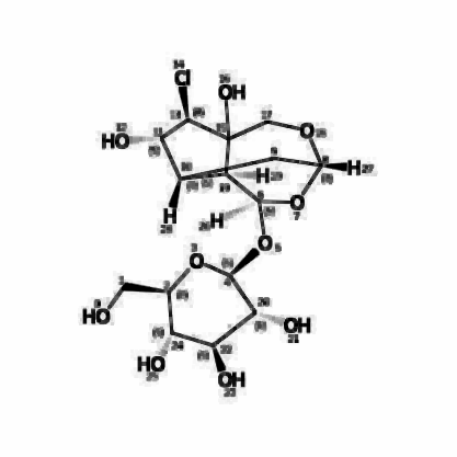 OC[C@H]1O[C@@H](O[C@@H]2O[C@@H]3C[C@H]4[C@H](O)[C@@H](Cl)C(O)(CO3)[C@@H]24)[C@H](O)[C@@H](O)[C@@H]1O